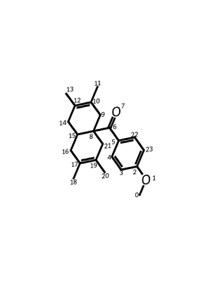 COc1ccc(C(=O)C23CC(C)=C(C)CC2CC(C)=C(C)C3)cc1